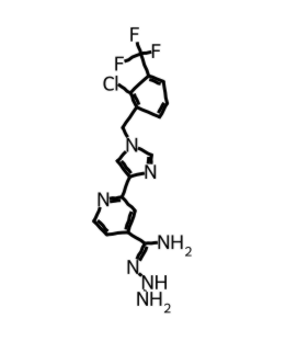 NN/N=C(\N)c1ccnc(-c2cn(Cc3cccc(C(F)(F)F)c3Cl)cn2)c1